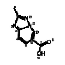 Cc1nc2ccc(C(=O)O)cn2n1